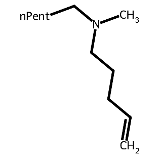 C=CCCCN(C)CCCCCC